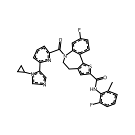 Cc1cccc(F)c1NC(=O)c1cc2c(s1)-c1ccc(F)cc1N(C(=O)c1cccc(-c3cncn3C3CC3)n1)CC2